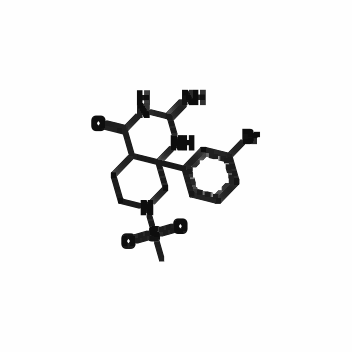 CS(=O)(=O)N1CCC2C(=O)NC(=N)NC2(c2cccc(Br)c2)C1